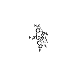 COCC(=O)O[C@@]1(CCN(C)CCc2ccc(SC)c(OC)c2)CCc2cc(F)ccc2[C@H]1C(C)C.Cl